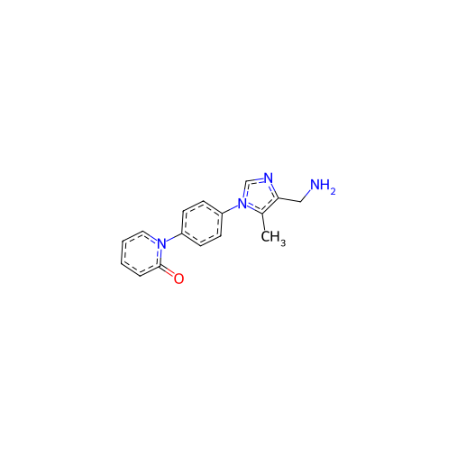 Cc1c(CN)ncn1-c1ccc(-n2ccccc2=O)cc1